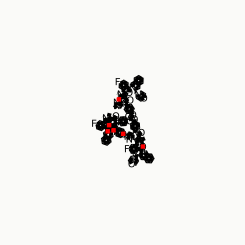 Cc1c(C(=O)N(c2ccc(OP(=O)(Oc3ccc(N(C(=O)c4cc(-c5cc(F)ccc5C(=O)N5Cc6ccccc6C[C@H]5CN5CCOCC5)n(C)c4C)c4cnn(C)c4)cc3)Oc3ccc(N(C(=O)c4cc(-c5cc(F)ccc5C(=O)N5Cc6ccccc6C[C@H]5CN5CCOCC5)n(C)c4C)c4cnn(C)c4)cc3)cc2)c2cnn(C)c2)cc(-c2cc(F)ccc2C(=O)N2Cc3ccccc3C[C@H]2CN2CCOCC2)n1C